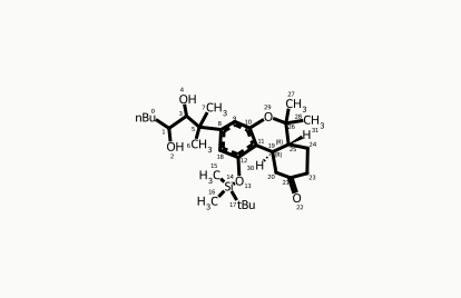 CCCCC(O)C(O)C(C)(C)c1cc2c(c(O[Si](C)(C)C(C)(C)C)c1)[C@@H]1CC(=O)CC[C@H]1C(C)(C)O2